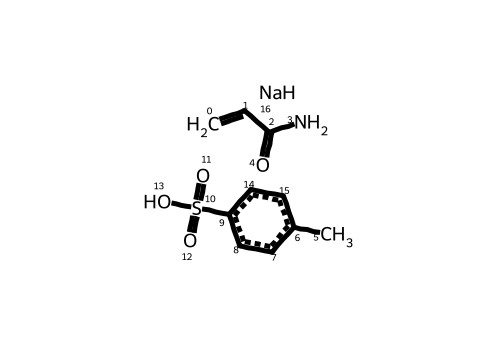 C=CC(N)=O.Cc1ccc(S(=O)(=O)O)cc1.[NaH]